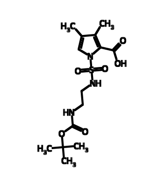 Cc1cn(S(=O)(=O)NCCNC(=O)OC(C)(C)C)c(C(=O)O)c1C